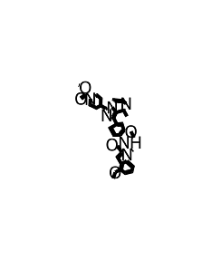 COC(=O)N1CCC(c2nc(-c3ccc(NC(=O)c4cc5c(OC)cccc5n4C)c(OC)c3)c3c(C)nccn23)CC1